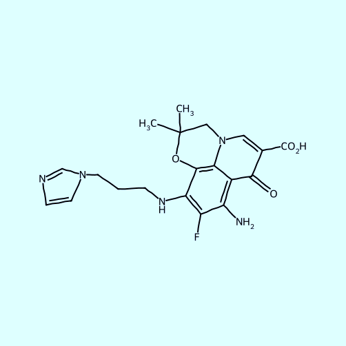 CC1(C)Cn2cc(C(=O)O)c(=O)c3c(N)c(F)c(NCCCn4ccnc4)c(c32)O1